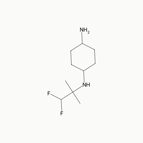 CC(C)(NC1CCC(N)CC1)C(F)F